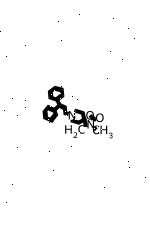 C=C1N(C)C(=O)OC12CCN(CC=C(c1ccccc1)c1ccccc1)CC2